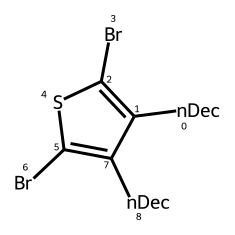 CCCCCCCCCCc1c(Br)sc(Br)c1CCCCCCCCCC